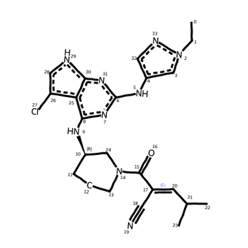 CCn1cc(Nc2nc(N[C@@H]3CCCN(C(=O)/C(C#N)=C/C(C)C)C3)c3c(Cl)c[nH]c3n2)cn1